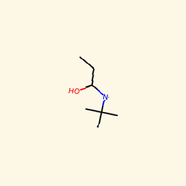 CCC(O)[N]C(C)(C)C